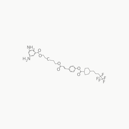 Nc1cc(N)cc(C(=O)OCCCCCCOC(=O)C=Cc2ccc(OC(=O)C3CCC(CCCC(F)(F)C(F)(F)F)CC3)cc2)c1